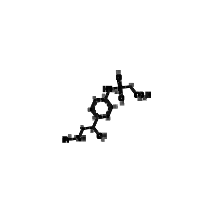 CC(C)NCC(O)c1ccc(NS(=O)(=O)CC(=O)O)cc1